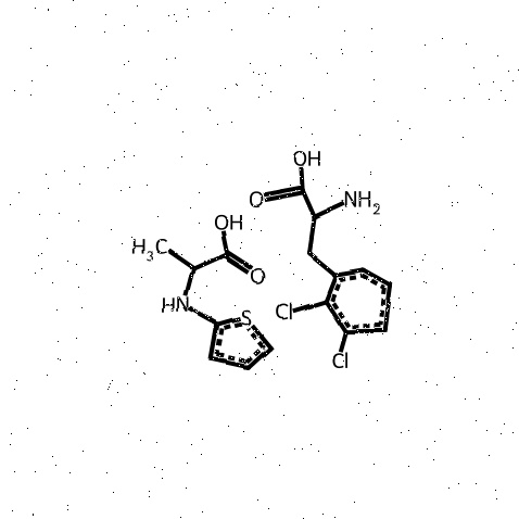 CC(Nc1cccs1)C(=O)O.NC(Cc1cccc(Cl)c1Cl)C(=O)O